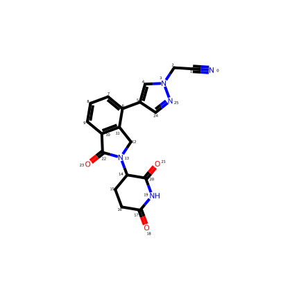 N#CCn1cc(-c2cccc3c2CN(C2CCC(=O)NC2=O)C3=O)cn1